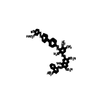 Cc1cc(/N=N/c2cc3c(O)c(/N=N/c4ccc(S(=O)(=O)O)c5ccccc45)c(S(=O)(=O)O)cc3cc2S(=O)(=O)O)c(N)c(/N=N/c2ccc(-c3ccc(/N=N/c4ccc(O)c(C(=O)O)c4)cc3)cc2)c1N